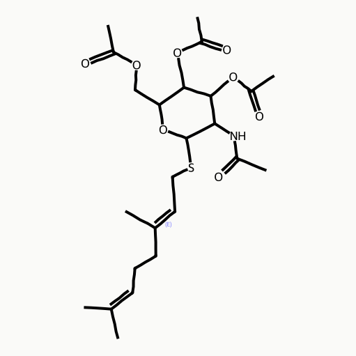 CC(=O)NC1C(SC/C=C(\C)CCC=C(C)C)OC(COC(C)=O)C(OC(C)=O)C1OC(C)=O